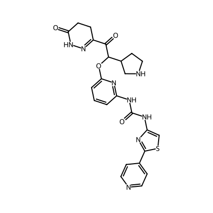 O=C1CCC(C(=O)C(Oc2cccc(NC(=O)Nc3csc(-c4ccncc4)n3)n2)C2CCNC2)=NN1